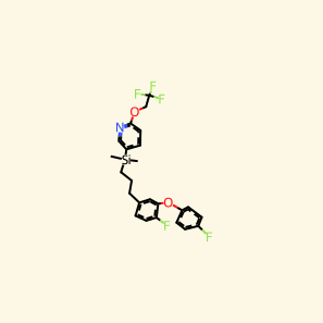 C[Si](C)(CCCc1ccc(F)c(Oc2ccc(F)cc2)c1)c1ccc(OCC(F)(F)F)nc1